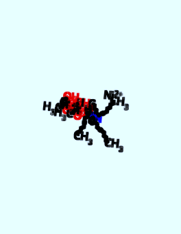 CCCCCC#CCCc1ccccc1N=C(C#CCCCCCC)C(CCCC)=Nc1ccccc1CCC#CCCCCC.CCc1ccc(O)c(O)c1C(=O)[O-].CCc1ccc(O)c(O)c1C(=O)[O-].[Ni+2]